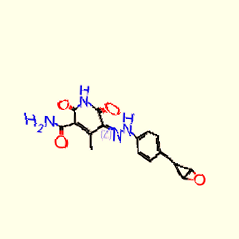 CC1=C(C(N)=O)C(=O)NC(=O)/C1=N\Nc1ccc(C2C3OC32)cc1